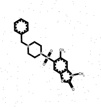 Cc1cc2c(cc1S(=O)(=O)N1CCN(Cc3ccccc3)CC1)oc(=O)n2C